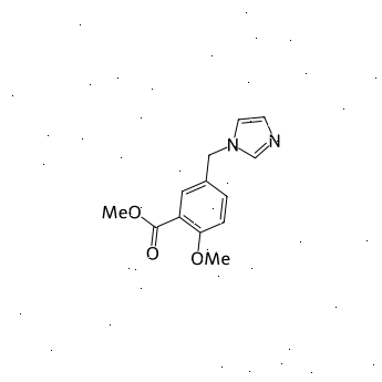 COC(=O)c1cc(Cn2ccnc2)ccc1OC